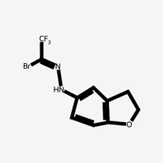 FC(F)(F)/C(Br)=N/Nc1ccc2c(c1)CCO2